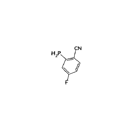 N#Cc1ccc(F)cc1P